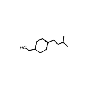 C[C](C)CCC1CCC(CO)CC1